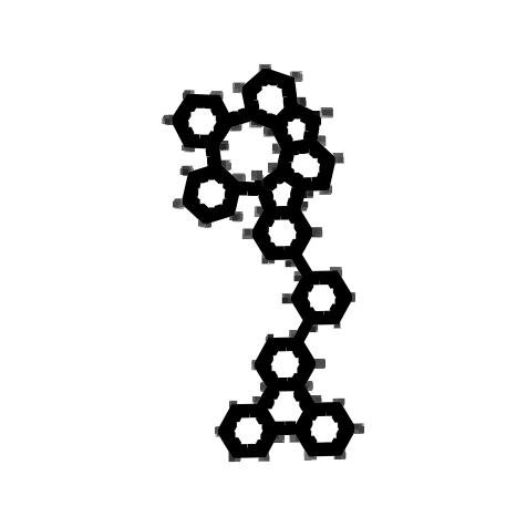 c1cc(-c2ccc3c4ccccc4c4ccccc4c3c2)cc(-c2ccc3c(c2)c2ccc4sc5cccc6c7ccccc7c7ccccc7n3c2c4c56)c1